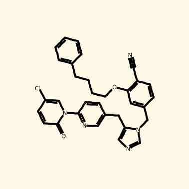 N#Cc1ccc(Cn2cncc2Cc2ccc(-n3cc(Cl)ccc3=O)nc2)cc1OCCCCc1ccccc1